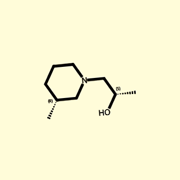 C[C@@H]1CCCN(C[C@H](C)O)C1